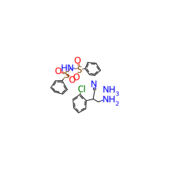 N.N#CC(CN)c1ccccc1Cl.O=S(=O)(NS(=O)(=O)c1ccccc1)c1ccccc1